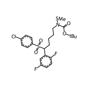 CSN(CCCCC(c1cc(F)ccc1F)S(=O)(=O)c1ccc(Cl)cc1)C(=O)OC(C)(C)C